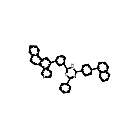 c1ccc(C2=NC(c3ccc(-c4cccc5ccccc45)cc3)NC(c3cccc(-c4cc5c6ccccc6ccc5c5cnccc45)c3)=N2)cc1